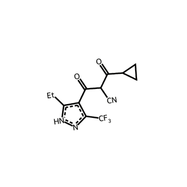 CCc1[nH]nc(C(F)(F)F)c1C(=O)C(C#N)C(=O)C1CC1